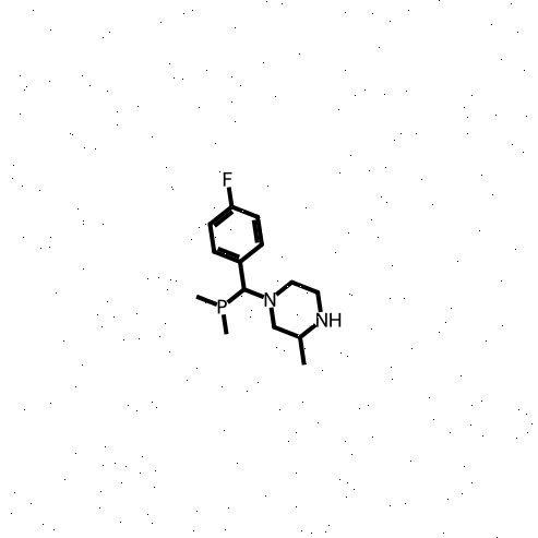 CC1CN(C(c2ccc(F)cc2)P(C)C)CCN1